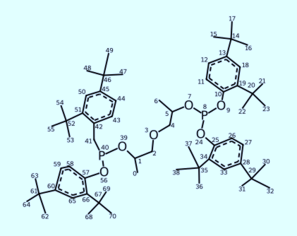 CC(COCC(C)OP(Oc1ccc(C(C)(C)C)cc1C(C)(C)C)Oc1ccc(C(C)(C)C)cc1C(C)(C)C)OP(Cc1ccc(C(C)(C)C)cc1C(C)(C)C)Oc1ccc(C(C)(C)C)cc1C(C)(C)C